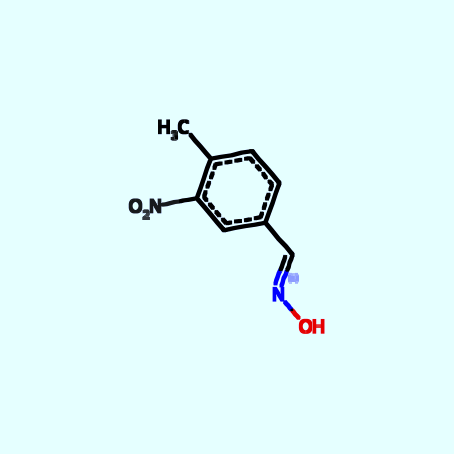 Cc1ccc(/C=N/O)cc1[N+](=O)[O-]